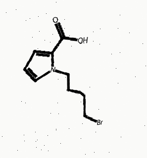 O=C(O)c1cccn1CCCCBr